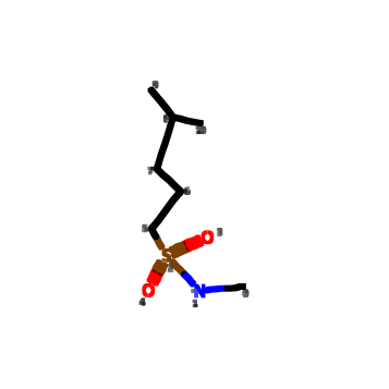 C[N]S(=O)(=O)CCCC(C)C